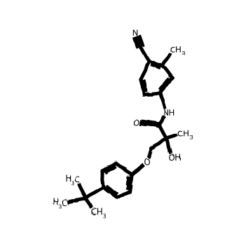 Cc1cc(NC(=O)C(C)(O)COc2ccc(C(C)(C)C)cc2)ccc1C#N